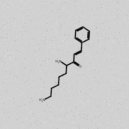 NCCCCCC(N)C(=O)C=Cc1ccccc1